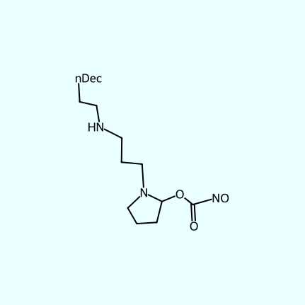 CCCCCCCCCCCCNCCCN1CCCC1OC(=O)N=O